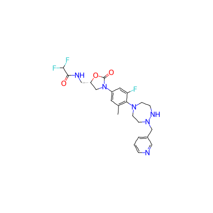 Cc1cc(N2C[C@H](CNC(=O)C(F)F)OC2=O)cc(F)c1N1CCNN(Cc2cccnc2)CC1